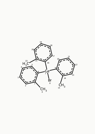 Cc1cccc[c]1[Ge]([Br])([c]1ccccc1C)[c]1ccccc1C